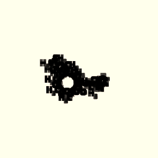 CC[C@H]1OC(=O)[C@H](C)C(=O)[C@H](C)[C@@H](OC2O[C@H](C)C[C@H](N(C)C)[C@H]2O)[C@@](C)(OC)C[C@@H](C)C(=O)[C@H](C)[C@H]2N(CCCC(C)(C)n3cnc4ncccc43)C(=O)O[C@]12CC